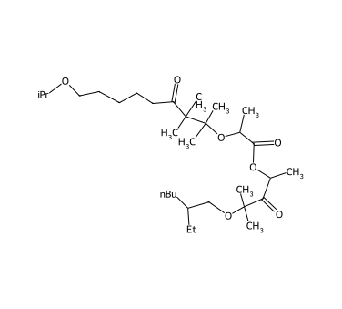 CCCCC(CC)COC(C)(C)C(=O)C(C)OC(=O)C(C)OC(C)(C)C(C)(C)C(=O)CCCCCOC(C)C